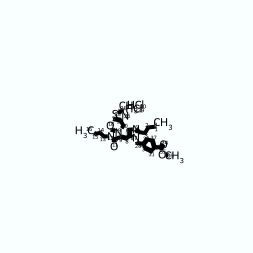 CCCCc1ncc(C=C2C(=O)N(CCCC)C(=O)N2Cc2csc(C)n2)n1Cc1ccc(C(=O)OC)cc1.Cl.Cl